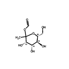 CC1(OC=O)O[C@H](CO)[C@@H](O)[C@H](O)[C@@H]1O